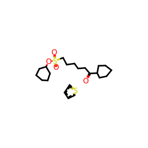 O=C(CCCCCS(=O)(=O)OC1CCCCC1)C1CCCCC1.c1ccsc1